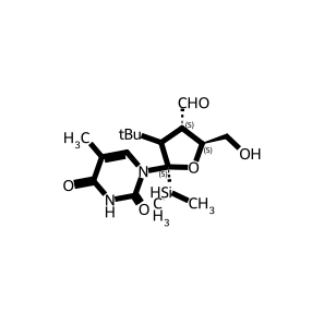 Cc1cn([C@]2([SiH](C)C)O[C@H](CO)[C@@H](C=O)C2C(C)(C)C)c(=O)[nH]c1=O